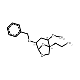 CCC[C@@]12COC(O1)[C@@H](OCc1ccccc1)C[C@H]2OC